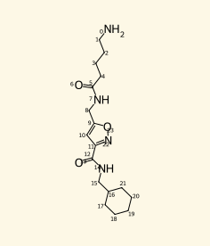 NCCCCC(=O)NCc1cc(C(=O)NCC2CCCCC2)no1